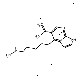 C=C(N)c1cnc2[nH]ccc2c1CCCCCNN